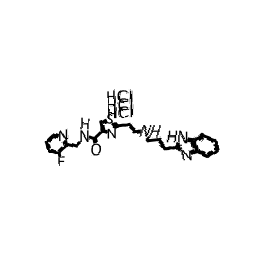 Cl.Cl.Cl.O=C(NCc1ncccc1F)c1csc(CCNCCCc2nc3ccccc3[nH]2)n1